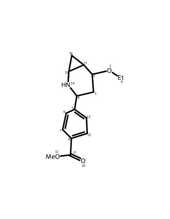 CCOC1CC(c2ccc(C(=O)OC)cc2)NC2CC21